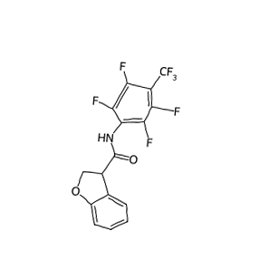 O=C(Nc1c(F)c(F)c(C(F)(F)F)c(F)c1F)C1COc2ccccc21